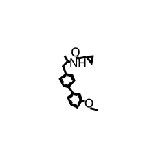 CCOc1cccc(-c2ccc(CC(C)NC(=O)C3CC3)cc2)c1